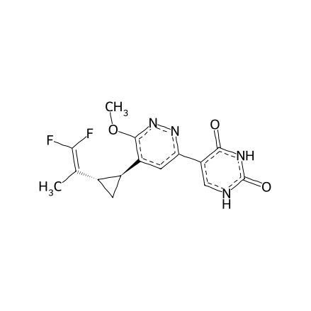 COc1nnc(-c2c[nH]c(=O)[nH]c2=O)cc1[C@H]1C[C@@H]1C(C)=C(F)F